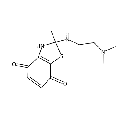 CN(C)CCNC1(C)NC2=C(S1)C(=O)C=CC2=O